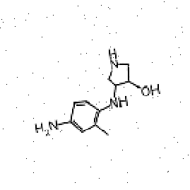 Cc1cc(N)ccc1NC1CNCC1O